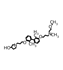 CCOCCN(C)CCCOc1cccc(-c2cccc(OCCCN3CCC(O)C3)c2C)c1C